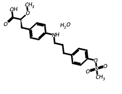 CO[C@@H](Cc1ccc(NCCCc2ccc(OS(C)(=O)=O)cc2)cc1)C(=O)O.O